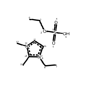 CCOS(=O)(=O)O.CC[n+]1ccn(C)c1C